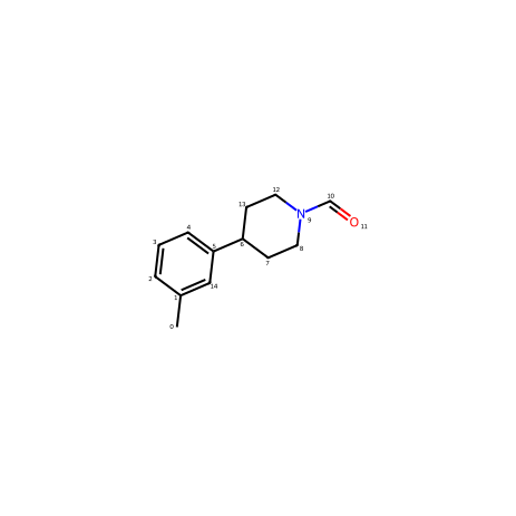 Cc1cccc(C2CCN(C=O)CC2)c1